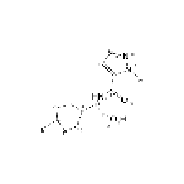 CC1CCC([C@H](NC(=O)c2ccnn2C)C(=O)O)CC1